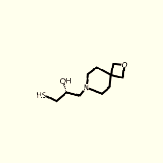 O[C@@H](CS)CN1CCC2(CC1)COC2